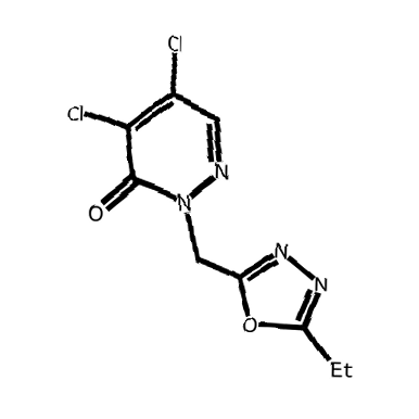 CCc1nnc(Cn2ncc(Cl)c(Cl)c2=O)o1